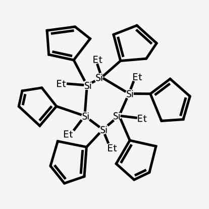 CC[Si]1(C2=CC=CC2)[Si](CC)(C2=CC=CC2)[Si](CC)(C2=CC=CC2)[Si](CC)(C2=CC=CC2)[Si](CC)(C2=CC=CC2)[Si]1(CC)C1=CC=CC1